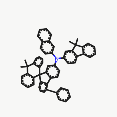 CC1(C)c2ccccc2-c2ccc(N(c3ccc4c(c3)C3(c5ccccc5C(C)(C)c5ccccc53)c3cccc(-c5ccccc5)c3-4)c3ccc4ccccc4c3)cc21